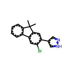 CC1(C)c2ccccc2-c2cc(Br)c(-c3cn[nH]c3)cc21